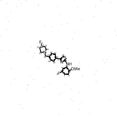 COc1ccc(F)cc1Nc1nc(-c2ccc(CN3CCN(F)CC3)cc2)cs1